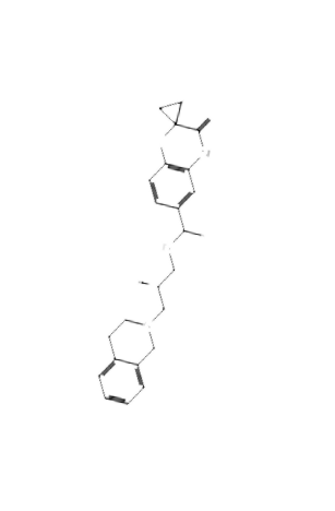 O=C1Nc2cc(C(O)NC[C@H](O)CN3CCc4ccccc4C3)ccc2OC12CC2